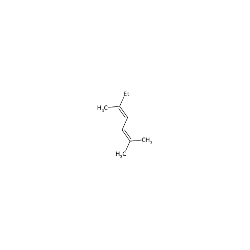 CCC(C)=CC=C(C)C